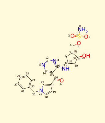 NS(=O)(=O)OC[C@H]1C[C@@H](Nc2ncncc2C(=O)c2ccn(Cc3ccccc3)c2)C[C@@H]1O